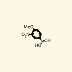 COc1ccc(N(O)O)cc1[N+](=O)[O-]